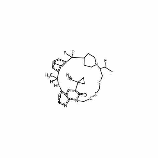 C[C@H]1Nc2ncnc3c2cc(C2(C#N)CC2)c(=O)n3CCCCCCC(C(F)F)N2CCC(CC2)C(F)(F)c2cccc1c2F